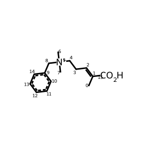 CC(=CCC[N+](C)(C)Cc1ccccc1)C(=O)O